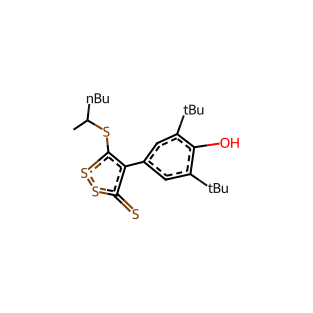 CCCCC(C)Sc1ssc(=S)c1-c1cc(C(C)(C)C)c(O)c(C(C)(C)C)c1